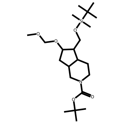 COCOC1CC2CN(C(=O)OC(C)(C)C)CCC2C1CO[Si](C)(C)C(C)(C)C